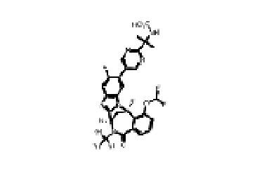 [2H]C([2H])([2H])N1C(=O)c2cccc(OC(F)F)c2[C@H]2C[C@@H]1c1nc3cc(F)c(-c4cnc(C(C)(C)NC(=O)O)nc4)cc3n12